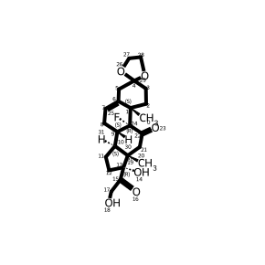 C[C@]12CCC3(CC1=CC[C@H]1[C@@H]4CC[C@](O)(C(=O)CO)[C@@]4(C)CC(=O)[C@@]12F)OCCO3